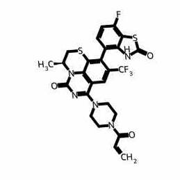 C=CC(=O)N1CCN(c2nc(=O)n3c4c(c(-c5ccc(F)c6sc(=O)[nH]c56)c(C(F)(F)F)cc24)SC[C@@H]3C)CC1